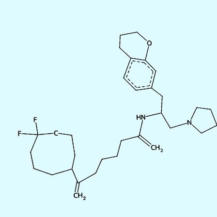 C=C(CCCCC(=C)C1CCCC(F)(F)CCC1)NC(Cc1ccc2c(c1)OCCC2)CN1CCCC1